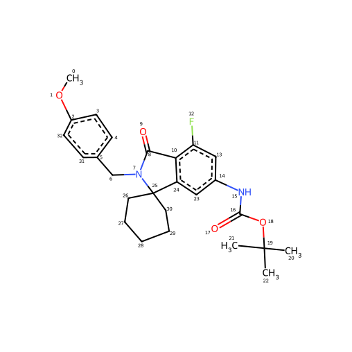 COc1ccc(CN2C(=O)c3c(F)cc(NC(=O)OC(C)(C)C)cc3C23CCCCC3)cc1